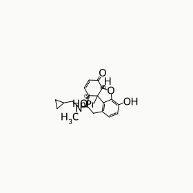 CCCC12c3c4ccc(O)c3O[C@H]1C(=O)C=C[C@@]2(O)C(N(C)CC1CC1)C4